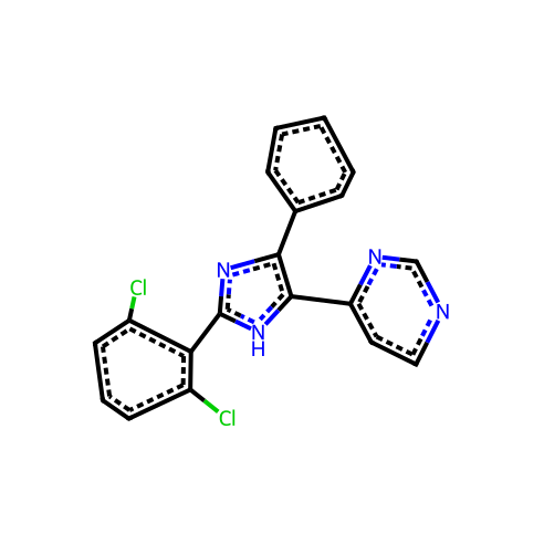 Clc1cccc(Cl)c1-c1nc(-c2ccccc2)c(-c2ccncn2)[nH]1